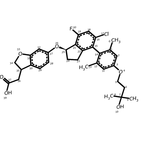 Cc1cc(OCCC(C)(C)O)cc(C)c1-c1c(Cl)cc(F)c2c1CC[C@H]2Oc1ccc2c(c1)OCC2CC(=O)O